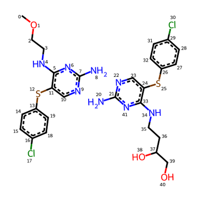 COCCNc1nc(N)ncc1Sc1ccc(Cl)cc1.Nc1ncc(Sc2ccc(Cl)cc2)c(NCCC(O)CO)n1